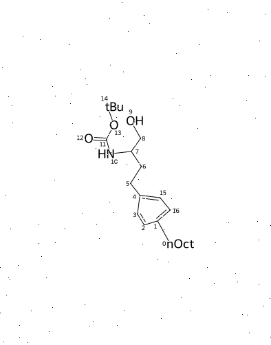 CCCCCCCCc1ccc(CCC(CO)NC(=O)OC(C)(C)C)cc1